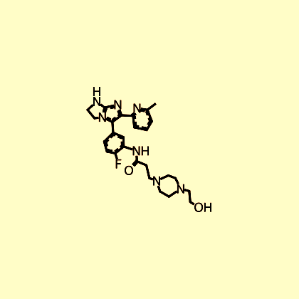 Cc1cccc(-c2nc3n(c2-c2ccc(F)c(NC(=O)CCN4CCN(CCO)CC4)c2)CCN3)n1